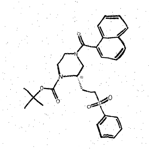 CC(C)(C)OC(=O)N1CCN(C(=O)c2cccc3ccccc23)C[C@@H]1CCS(=O)(=O)c1ccccc1